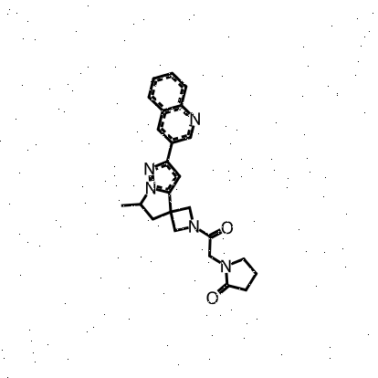 CC1CC2(CN(C(=O)CN3CCCC3=O)C2)c2cc(-c3cnc4ccccc4c3)nn21